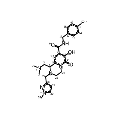 CN(C)CC1c2nc(C(=O)NCc3ccc(F)cc3)c(O)c(=O)n2CCN1Cc1ccn(C)n1